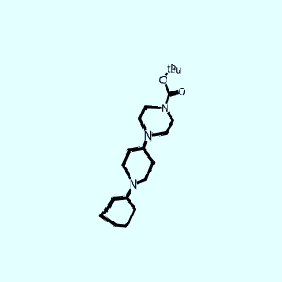 CC(C)(C)OC(=O)N1CCN(C2CCN(C3CCCCC3)CC2)CC1